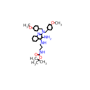 COc1ccc(CN(Cc2ccc(OC)cc2)c2nc3ccccc3c(NCCCNC(=O)OC(C)(C)C)c2N)cc1